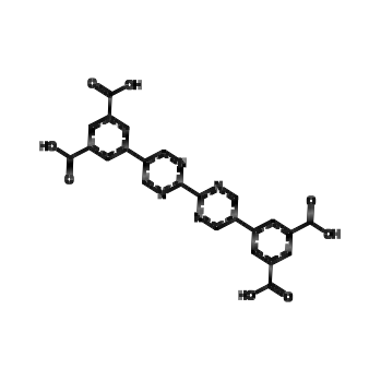 O=C(O)c1cc(C(=O)O)cc(-c2cnc(-c3ncc(-c4cc(C(=O)O)cc(C(=O)O)c4)cn3)nc2)c1